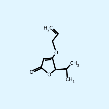 C=CCOC1=CC(=O)O[C@@H]1C(C)C